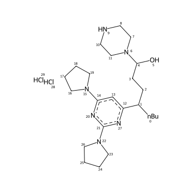 CCCCC(CCC(O)N1CCNCC1)c1cc(N2CCCC2)nc(N2CCCC2)n1.Cl.Cl